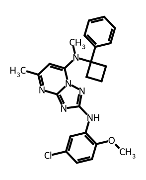 COc1ccc(Cl)cc1Nc1nc2nc(C)cc(N(C)C3(c4ccccc4)CCC3)n2n1